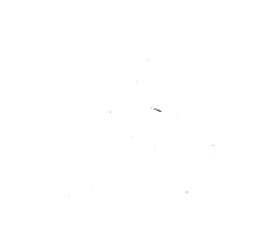 O[C@H]1CN(Cc2ccccc2)C[C@@H]1Oc1c(Cl)cccc1Cl